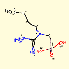 N=C(N)N(CCCC(=O)O)CP(=O)(O)O